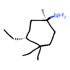 CC[C@@H]1C[C@@](C)(N)CCC1(C)C